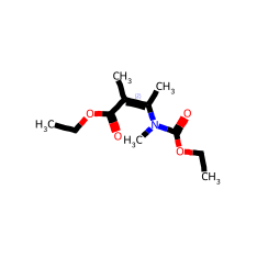 CCOC(=O)/C(C)=C(/C)N(C)C(=O)OCC